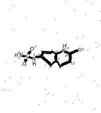 NS(=O)(=O)Nc1ccc2[nH]c(=O)ccc2c1